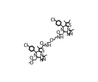 COC(=O)C[C@H]1N=C(c2ccc(Cl)cc2)c2c(sc(C(=O)NCCOCCNC(=O)C[C@H]3N=C(c4ccc(Cl)cc4)c4c(sc(C)c4C)-n4c(C)nnc43)c2C)-n2c(C)nnc21